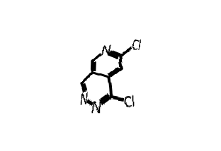 Clc1cc2c(Cl)nncc2cn1